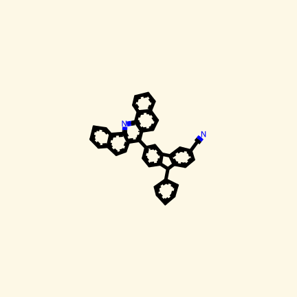 N#Cc1ccc2c(c1)-c1cc(-c3c4ccc5ccccc5c4nc4c3ccc3ccccc34)ccc1C2c1ccccc1